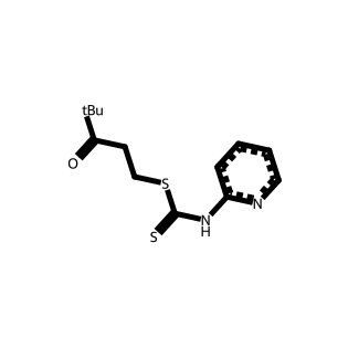 CC(C)(C)C(=O)CCSC(=S)Nc1ccccn1